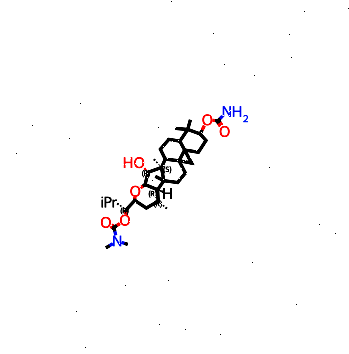 CC(C)[C@@H](OC(=O)N(C)C)C1C[C@@H](C)[C@H]2C(O1)[C@H](O)[C@@]1(C)C3CCC4C(C)(C)C(OC(N)=O)CCC45CC35CCC21C